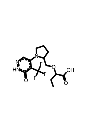 CCC(OCC1CCCN1c1cn[nH]c(=O)c1C(F)(F)F)C(=O)O